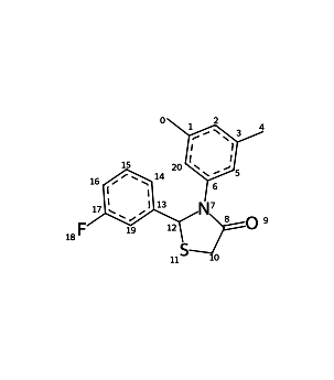 Cc1cc(C)cc(N2C(=O)CSC2c2cccc(F)c2)c1